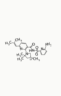 CC(C)=Cc1ccc(C(=O)NS(=O)(=O)c2cccc(N)n2)c(N2C[C@@H](C)CC2(C)C)n1